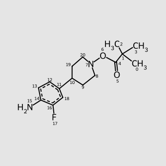 CC(C)(C)C(=O)ON1CCC(c2ccc(N)c(F)c2)CC1